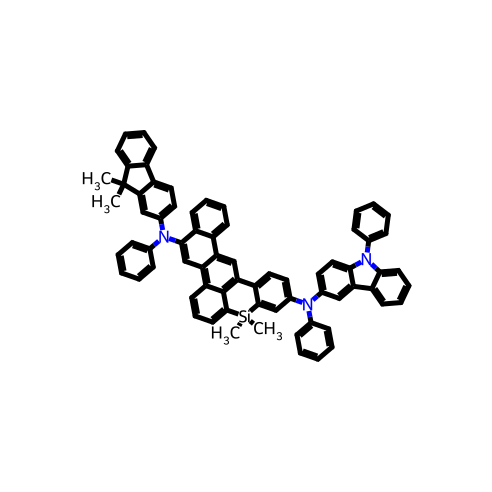 CC1(C)c2ccccc2-c2ccc(N(c3ccccc3)c3cc4c5cccc6c5c(cc4c4ccccc34)-c3ccc(N(c4ccccc4)c4ccc5c(c4)c4ccccc4n5-c4ccccc4)cc3[Si]6(C)C)cc21